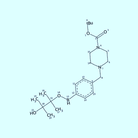 CC(C)(C)OC(=O)N1CCN(Cc2ccc(BOC(C)(C)C(C)(C)O)cc2)CC1